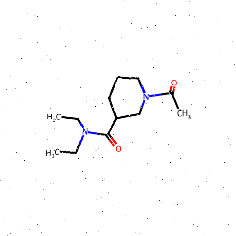 CCN(CC)C(=O)C1CCCN(C(C)=O)C1